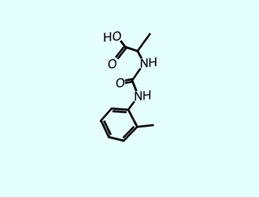 Cc1ccccc1NC(=O)NC(C)C(=O)O